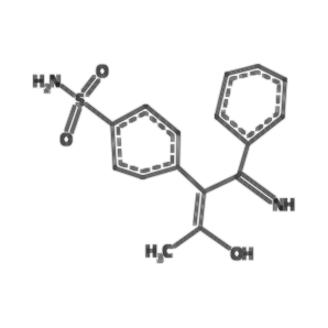 C/C(O)=C(/C(=N)c1ccccc1)c1ccc(S(N)(=O)=O)cc1